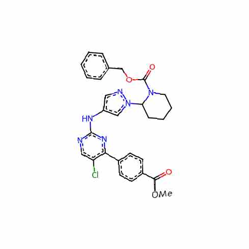 COC(=O)c1ccc(-c2nc(Nc3cnn(C4CCCCN4C(=O)OCc4ccccc4)c3)ncc2Cl)cc1